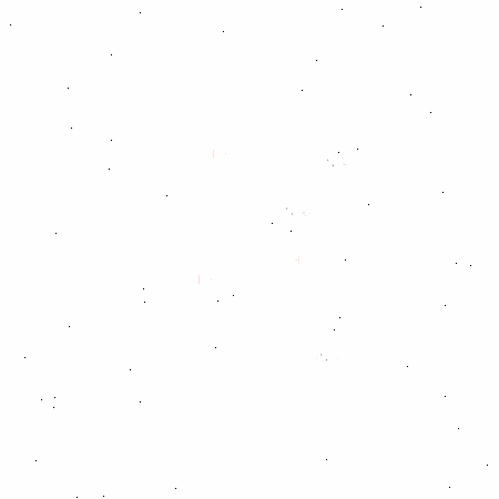 CCCCCCCCCc1cc(Cc2cc(CCCCCCCCC)cc(C(C)c3ccccc3)c2O)c(O)c(C(C)c2ccccc2)c1.CCCCCCCCCc1ccc(O)cc1